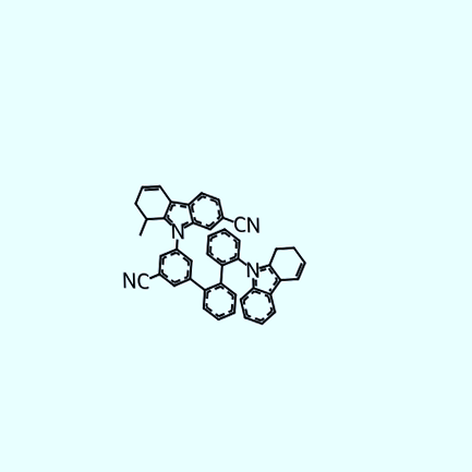 CC1CC=Cc2c1n(-c1cc(C#N)cc(-c3ccccc3-c3ccccc3-n3c4c(c5ccccc53)C=CCC4)c1)c1cc(C#N)ccc21